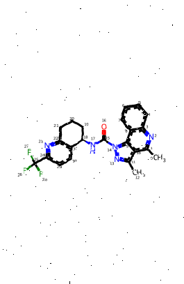 Cc1nc2ccccc2c2c1c(C)nn2C(=O)N[C@@H]1CCCc2nc(C(F)(F)F)ccc21